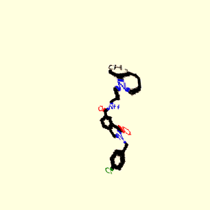 CCC1CCCCN1CCCNC(=O)c1ccc2c(c1)C(=O)N(Cc1ccc(Cl)cc1)C2